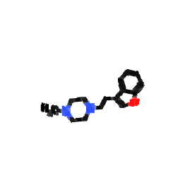 CN1CCN(CCc2coc3ccccc23)CC1